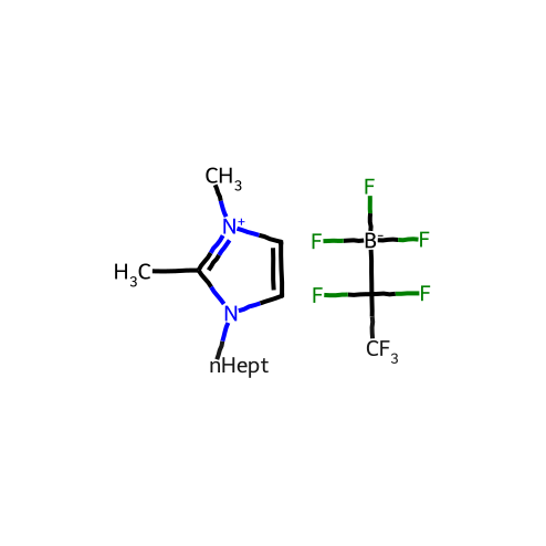 CCCCCCCn1cc[n+](C)c1C.F[B-](F)(F)C(F)(F)C(F)(F)F